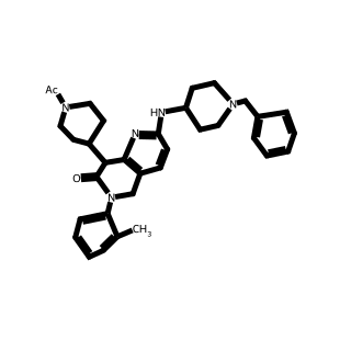 CC(=O)N1CCC(C2C(=O)N(c3ccccc3C)Cc3ccc(NC4CCN(Cc5ccccc5)CC4)nc32)CC1